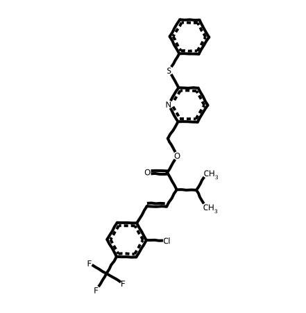 CC(C)C(C=Cc1ccc(C(F)(F)F)cc1Cl)C(=O)OCc1cccc(Sc2ccccc2)n1